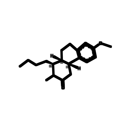 CCCC[C@@H]1C(C)C(=O)C[C@H]2c3ccc(OC)cc3CC[C@@H]12